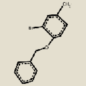 [CH2]c1ccc(OCc2ccccc2)c(Br)c1